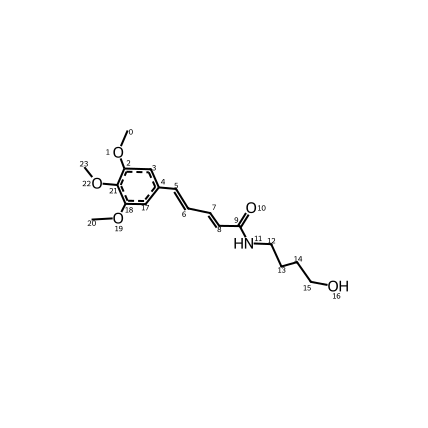 COc1cc(C=CC=CC(=O)NCCCCO)cc(OC)c1OC